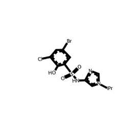 CC(C)n1cnc(NS(=O)(=O)c2cc(Br)cc(Cl)c2O)c1